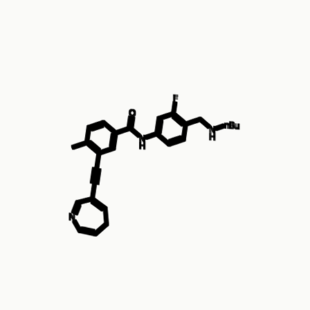 CCCCNCc1ccc(NC(=O)c2ccc(C)c(C#CC3=CCC=CN=C3)c2)cc1F